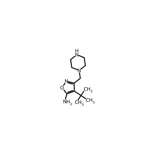 CC(C)(C)c1c(CN2CCNCC2)noc1N